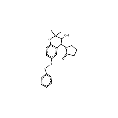 CC1(C)Oc2ccc(OSc3ccccc3)cc2C(N2CCCC2=O)C1O